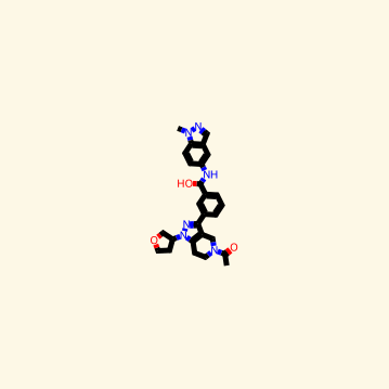 CC(=O)N1CCc2c(c(-c3cccc(C(O)Nc4ccc5c(cnn5C)c4)c3)nn2C2CCOC2)C1